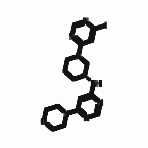 Ic1cc(N2CCC[C@@H](Nc3cc(N4CCOCC4)ncn3)C2)ncn1